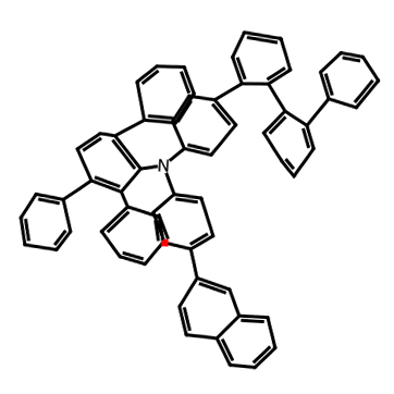 c1ccc(-c2ccccc2-c2ccccc2-c2ccc(N(c3ccc(-c4ccc5ccccc5c4)cc3)c3c(-c4ccccc4)ccc(-c4ccccc4)c3-c3ccccc3)cc2)cc1